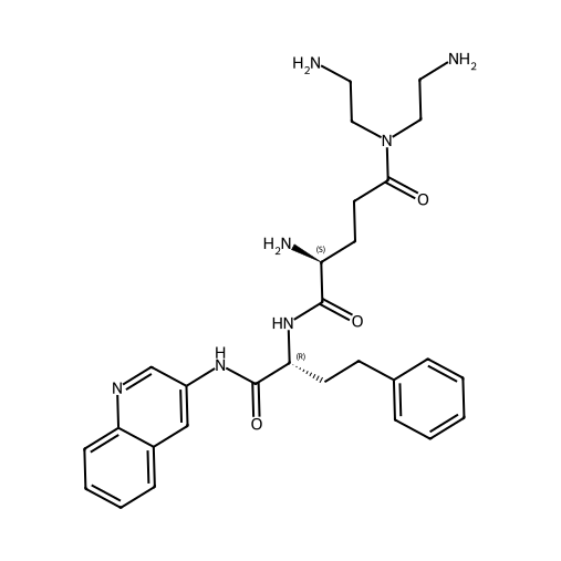 NCCN(CCN)C(=O)CC[C@H](N)C(=O)N[C@H](CCc1ccccc1)C(=O)Nc1cnc2ccccc2c1